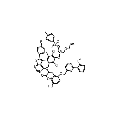 C=CCOC[C@H](COS(=O)(=O)c1ccc(C)cc1)Oc1c(Cl)c(C)c(-c2c(-c3ccc(F)cc3)sc3ncnc(OC(Cc4cc(O)ccc4OCc4ccnc(-c5ccccc5OC)n4)C(=O)O)c23)c(C)c1Cl